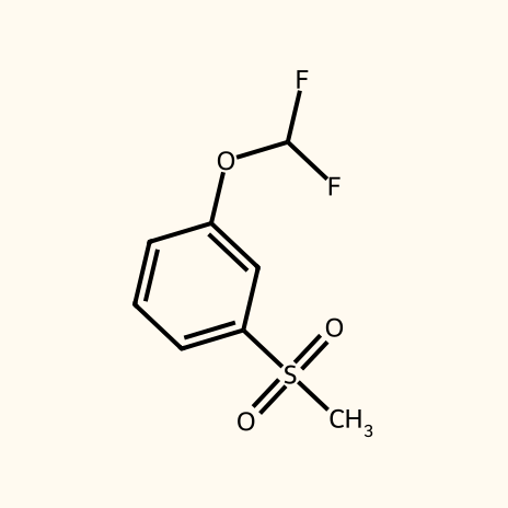 CS(=O)(=O)c1cccc(OC(F)F)c1